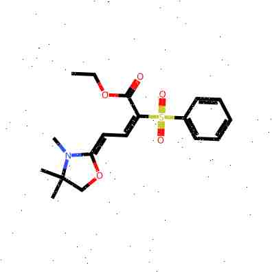 CCOC(=O)C(=CC=C1OCC(C)(C)N1C)S(=O)(=O)c1ccccc1